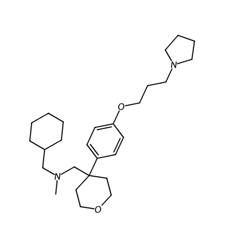 CN(CC1CCCCC1)CC1(c2ccc(OCCCN3CCCC3)cc2)CCOCC1